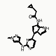 Cn1cc(Nc2nccc(-c3ccc(NC(=O)CC4CC4)c4[nH]ccc34)n2)cn1